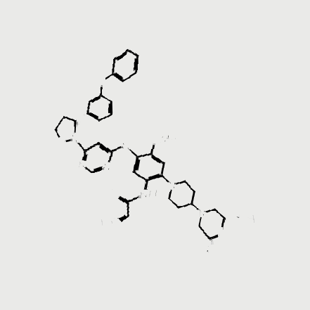 C=CC(=O)Nc1cc(Nc2cc(N3OCC[C@@H]3c3cccc(Oc4ccccc4)c3)ncn2)c(OC)cc1N1CCC(N2C[C@@H](C)O[C@@H](C)C2)CC1